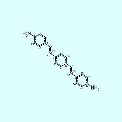 Nc1ccc(/C=N/c2ccc(/C=N/c3ccc(N)cc3)cc2)cc1